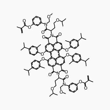 C=C(C)C(=O)Oc1cccc(N(COC)C(=O)C(CCOC(C)C)N2C(=O)c3cc(Oc4ccc(C(C)C)cc4C)c4c5c(Oc6ccc(C(C)C)cc6C)cc6c7c(cc(Oc8ccc(C(C)C)cc8C)c(c8c(Oc9ccc(C(C)C)cc9C)cc(c3c48)C2=O)c75)C(=O)N(C(CCOC(C)C)C(=O)N(COC)c2cccc(OC(=O)C(=C)C)c2)C6=O)c1